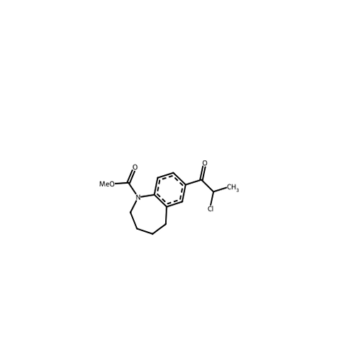 COC(=O)N1CCCCc2cc(C(=O)C(C)Cl)ccc21